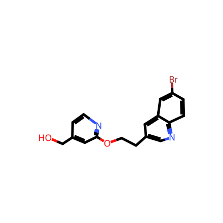 OCc1ccnc(OCCc2cnc3ccc(Br)cc3c2)c1